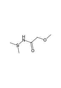 COCC(=O)N[Si](C)C